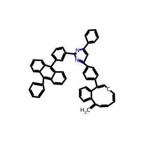 C=C1/C=C\C=C/C/C=C(/c2ccc(-c3cc(-c4ccccc4)nc(-c4cccc(-c5c6ccccc6c(-c6ccccc6)c6ccccc56)c4)n3)cc2)c2ccccc21